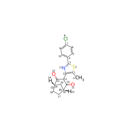 Cc1sc(-c2ccc(Cl)cc2)nc1C1C(=O)[C@@H]2CC[C@@H](C2)C1=O